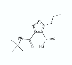 CCCc1onc(C(=O)NC(C)(C)C)c1C(=O)O